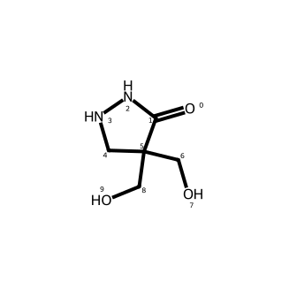 O=C1NNCC1(CO)CO